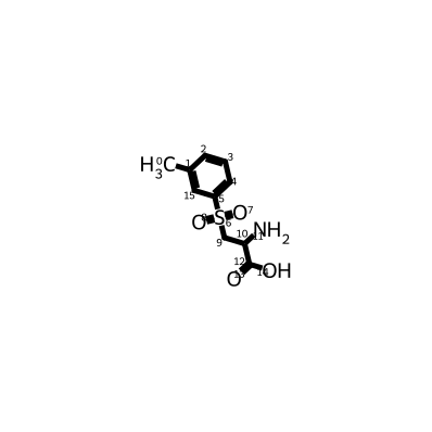 Cc1cccc(S(=O)(=O)CC(N)C(=O)O)c1